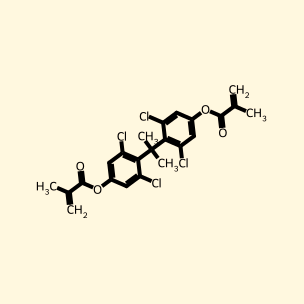 C=C(C)C(=O)Oc1cc(Cl)c(C(C)(C)c2c(Cl)cc(OC(=O)C(=C)C)cc2Cl)c(Cl)c1